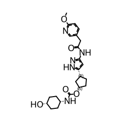 COc1ccc(CC(=O)Nc2cc([C@@H]3CC[C@H](OC(=O)N[C@H]4CC[C@@H](O)CC4)C3)[nH]n2)cn1